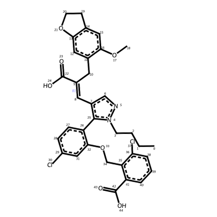 CCCCn1ncc(/C=C(\Cc2cc3c(cc2OC)CCO3)C(=O)O)c1-c1ccc(Cl)cc1OCc1c(Cl)cccc1C(=O)O